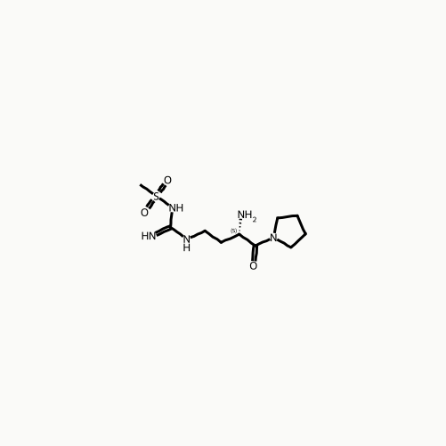 CS(=O)(=O)NC(=N)NCC[C@H](N)C(=O)N1CCCC1